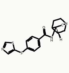 O=C(N[C@H]1CN2CCC1CC2)c1ccc(Sc2cncs2)cc1